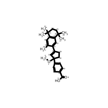 COC1(c2ccc(C(=O)O)cc2)C=C(c2cc3c(cc2C)C(C)(C)CCC3(C)C)CC1